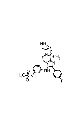 CC1(C)c2nc(-c3ccc(F)cc3)c(Nc3cccc(NS(C)(=O)=O)c3)n2CCN1C(=O)CN